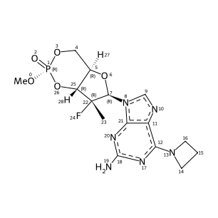 CO[P@]1(=O)OC[C@H]2O[C@@H](n3cnc4c(N5CCC5)nc(N)nc43)[C@](C)(F)[C@@H]2O1